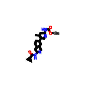 Cc1cc(NC(=O)OC(C)(C)C)ncc1-c1ccc2cc(NC(=O)C3CC3)ncc2c1